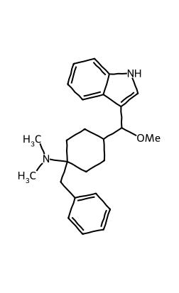 COC(c1c[nH]c2ccccc12)C1CCC(Cc2ccccc2)(N(C)C)CC1